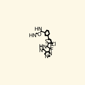 N=COC(=N)c1cccc(-c2cc(Cl)c(C3NC(=N)c4cncnc4C3(F)F)s2)c1